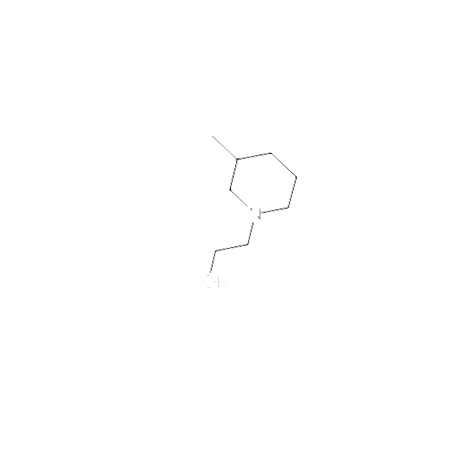 CC1CCCN(CCO)C1